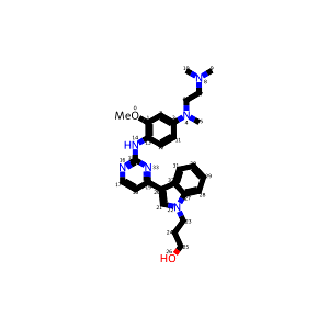 COc1cc(N(C)CCN(C)C)ccc1Nc1nccc(-c2cn(CCCO)c3ccccc23)n1